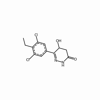 CCc1c(Cl)cc(C2=NNC(=O)CC2O)cc1Cl